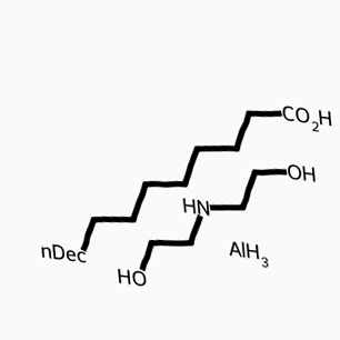 CCCCCCCCCCCCCCCCCC(=O)O.OCCNCCO.[AlH3]